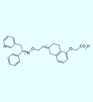 O=C(O)COc1cccc2c1CC/C(=C/CO/N=C(\Cc1cccnc1)c1ccccc1)C2